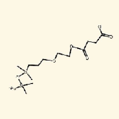 CCCC[Si](C)(C)O[Si](C)(C)CCCOCCOC(=O)CCC(=O)Cl